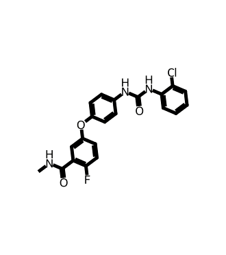 CNC(=O)c1cc(Oc2ccc(NC(=O)Nc3ccccc3Cl)cc2)ccc1F